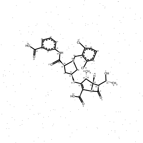 C[C@@H](O)[C@H]1C(=O)N2C(C(=O)O)=C(S[C@H]3C[C@@H](C(=O)Nc4cccc(C(=O)O)c4)N(Cc4c(Cl)cccc4Cl)C3)[C@H](C)[C@H]12